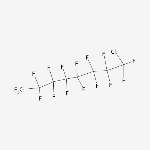 FC(F)(F)C(F)(F)C(F)(F)C(F)(F)C(F)(F)C(F)(F)C(F)(F)C(F)(F)Cl